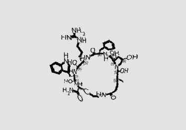 C[C@H]1CCC(=O)NCCC[C@@H](C(N)=O)N[C@@H](O)[C@H](Cc2c[nH]c3ccccc23)N[C@H](O)[C@H](CCCNC(=N)N)NC(=O)[C@@H](Cc2ccccc2)N[C@H](O)[C@@H]2C[C@@H](O)CN2[C@H]1O